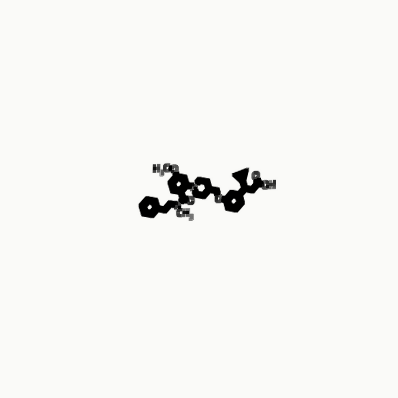 COc1ccc(C(=O)N(C)CCc2ccccc2)c(N2CCC(COc3cccc(C(CC(=O)O)C4CC4)c3)CC2)c1